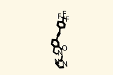 O=C1c2cc(C#Cc3ccc(C(F)(F)F)cc3)ccc2CCN1Cc1ncccn1